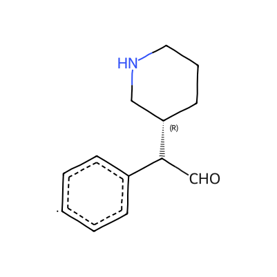 O=CC(c1cc[c]cc1)[C@H]1CCCNC1